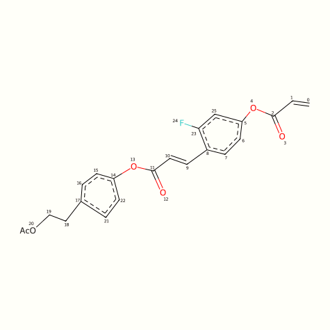 C=CC(=O)Oc1ccc(/C=C/C(=O)Oc2ccc(CCOC(C)=O)cc2)c(F)c1